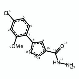 COc1cc(Cl)ccc1-c1cc(C(=O)NN)sn1